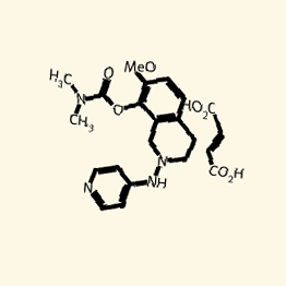 COc1ccc2c(c1OC(=O)N(C)C)CN(Nc1ccncc1)CC2.O=C(O)C=CC(=O)O